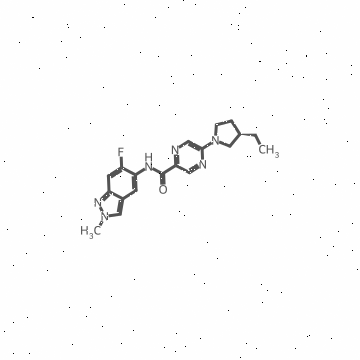 CC[C@@H]1CCN(c2cnc(C(=O)Nc3cc4cn(C)nc4cc3F)cn2)C1